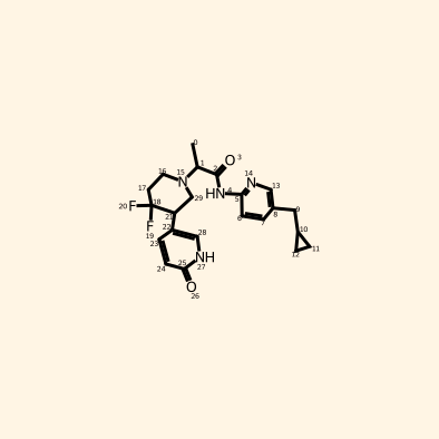 CC(C(=O)Nc1ccc(CC2CC2)cn1)N1CCC(F)(F)C(c2ccc(=O)[nH]c2)C1